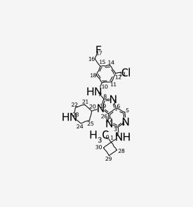 CC1(Nc2ncc3nc(Nc4cc(Cl)cc(CF)c4)n(C4CCNCC4)c3n2)CCC1